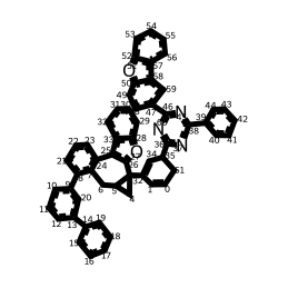 C1=CC(C23CC2Cc2c(-c4cccc(-c5ccccc5)c4)cccc2-c2c3oc3ccccc23)=CC(c2nc(-c3ccccc3)nc(-c3ccc4oc5ccccc5c4c3)n2)C1